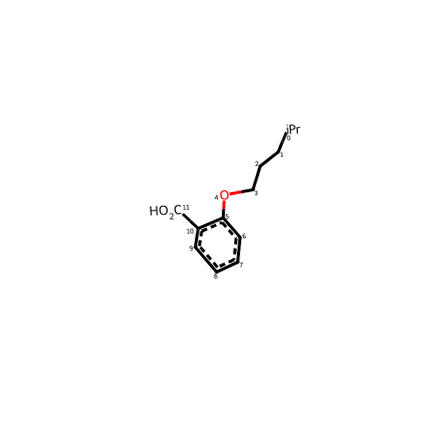 CC(C)CCCOc1ccccc1C(=O)O